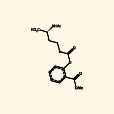 COC(=O)c1ccccc1OC(=O)SCC[C@@H](NC(C)=O)C(=O)O